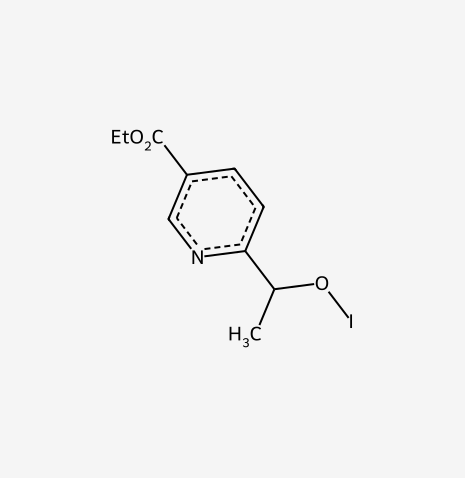 CCOC(=O)c1ccc(C(C)OI)nc1